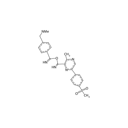 CNCc1ccc(C(=N)OC(=N)c2nc(-c3ccc(S(C)(=O)=O)cc3)cnc2C)cc1